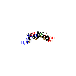 CO/N=C(\C(=O)N[C@@H]1C(=O)N2C(C(=O)[O-])=C(CSc3sc4cc(O)c(O)cc4c(=O)c3Br)CS[C@H]12)c1csc(N)n1.[Na+]